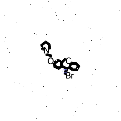 Br/C=C1\c2ccccc2CCc2cc(OCCN3CCCCC3)ccc21